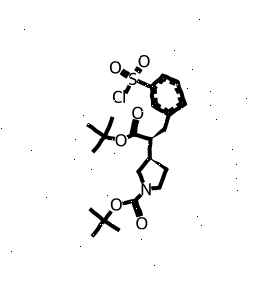 CC(C)(C)OC(=O)[C@@H](Cc1cccc(S(=O)(=O)Cl)c1)[C@H]1CCN(C(=O)OC(C)(C)C)C1